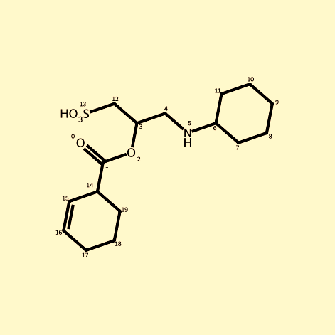 O=C(OC(CNC1CCCCC1)CS(=O)(=O)O)C1C=CCCC1